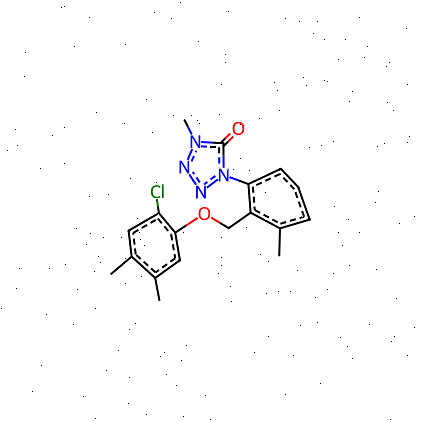 Cc1cc(Cl)c(OCc2c(C)cccc2-n2nnn(C)c2=O)cc1C